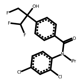 CC(C)N(C(=O)c1ccc(C(O)(CF)C(F)F)cc1)c1ccc(Cl)cc1Cl